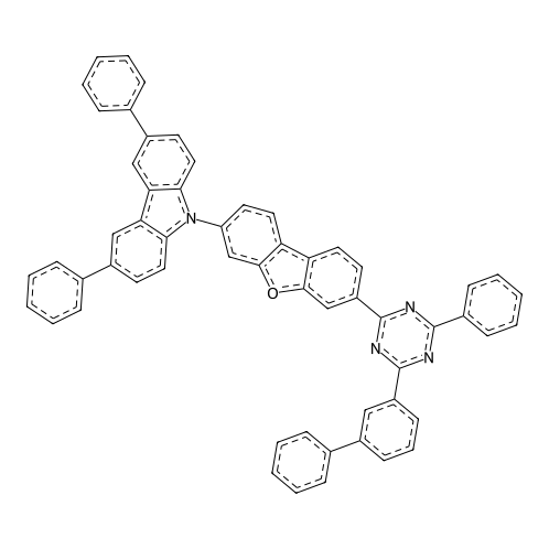 c1ccc(-c2cccc(-c3nc(-c4ccccc4)nc(-c4ccc5c(c4)oc4cc(-n6c7ccc(-c8ccccc8)cc7c7cc(-c8ccccc8)ccc76)ccc45)n3)c2)cc1